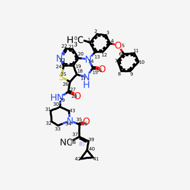 Cc1ccc(Oc2ccccc2)cc1N1C(=O)NC2c3c1ccnc3SC2C(=O)NC1CCCN(C(=O)/C(C#N)=C/C2CC2)C1